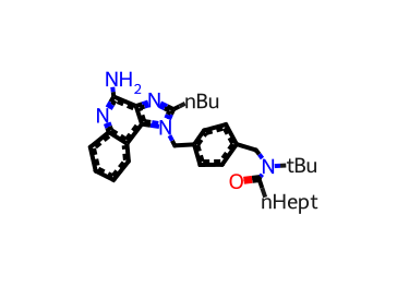 CCCCCCCC(=O)N(Cc1ccc(Cn2c(CCCC)nc3c(N)nc4ccccc4c32)cc1)C(C)(C)C